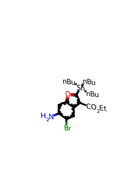 CCC[CH2][Sn]([CH2]CCC)([CH2]CCC)[c]1oc2cc(N)c(Br)cc2c1C(=O)OCC